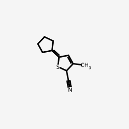 CC1=CC(=C2CCCC2)SC1C#N